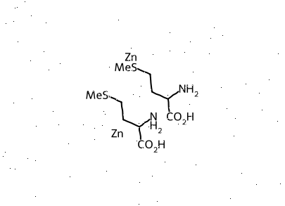 CSCCC(N)C(=O)O.CSCCC(N)C(=O)O.[Zn].[Zn]